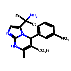 CCC(N)(CC)c1cnc2n1C(c1cccc([N+](=O)[O-])c1)C(C(=O)O)=C(C)N2